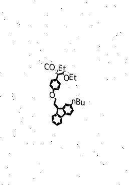 CCCCc1ccc2c(c1)C(=CCOc1ccc(CC(OCC)C(=O)OCC)cc1)c1ccccc1-2